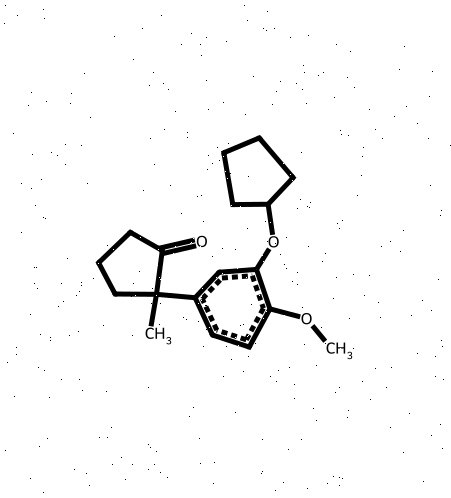 COc1ccc(C2(C)CCCC2=O)cc1OC1CCCC1